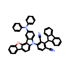 N#Cc1ccc(-n2c3ccc(N(c4ccccc4)c4ccccc4)cc3c3c4oc5ccccc5c4ccc32)c(C#N)c1C1c2ccccc2-c2ccccc21